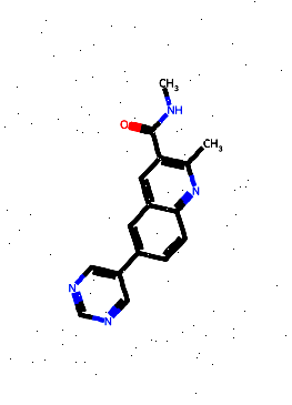 CNC(=O)c1cc2cc(-c3cncnc3)ccc2nc1C